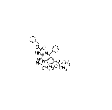 Cc1nnc2n1-c1ccc(OC(C)(C)C)cc1C(c1ccccc1)=N[C@H]2NC(=O)OCc1ccccc1